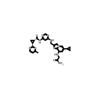 Cc1ccnc([C@H]2C[C@@H]2C(=O)Nc2cc(NCc3cn4cc(C5CC5)cc(NCC(N)=O)c4n3)ncn2)n1